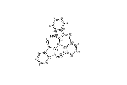 O=C1c2ccccc2CN1[C@@H](c1cc2ccccc2[nH]1)c1c(O)cccc1F